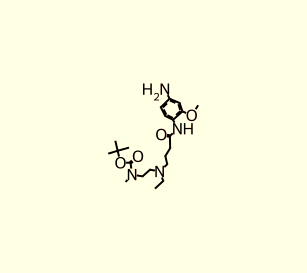 CCN(CCCC(=O)Nc1ccc(N)cc1OC)CCN(C)C(=O)OC(C)(C)C